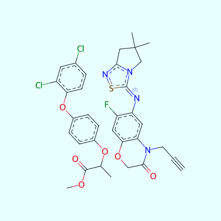 C#CCN1C(=O)COc2cc(F)c(/N=c3\snc4n3CC(C)(C)C4)cc21.COC(=O)C(C)Oc1ccc(Oc2ccc(Cl)cc2Cl)cc1